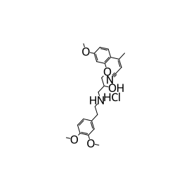 COc1ccc(/C(C)=C\C#N)c(OCC(O)CNCCc2ccc(OC)c(OC)c2)c1.Cl